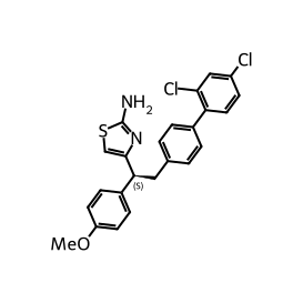 COc1ccc([C@H](Cc2ccc(-c3ccc(Cl)cc3Cl)cc2)c2csc(N)n2)cc1